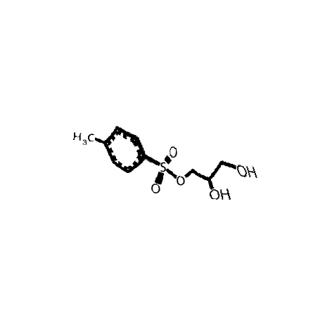 Cc1ccc(S(=O)(=O)OCC(O)CO)cc1